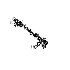 O=C1CCC(N2C(=O)c3ccc(OCCOCCOCCOCCN4CCN(Cc5ccc6c(c5)nc(NC(=O)c5cccc(C(F)(F)F)c5)n6C5CCC(CO)CC5)CC4)cc3C2=O)C(=O)N1